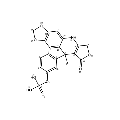 CC1(c2cccc(OP(=O)(O)O)c2)C2=C(COC2=O)Nc2cc3c(cc21)OCO3